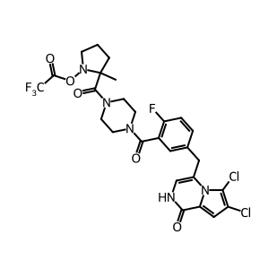 CC1(C(=O)N2CCN(C(=O)c3cc(Cc4c[nH]c(=O)c5cc(Cl)c(Cl)n45)ccc3F)CC2)CCCN1OC(=O)C(F)(F)F